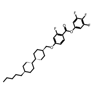 CCCCC[C@H]1CC[C@H]([C@H]2CC[C@H](COc3ccc(C(=O)Oc4cc(F)c(F)c(F)c4)c(F)c3)CC2)CC1